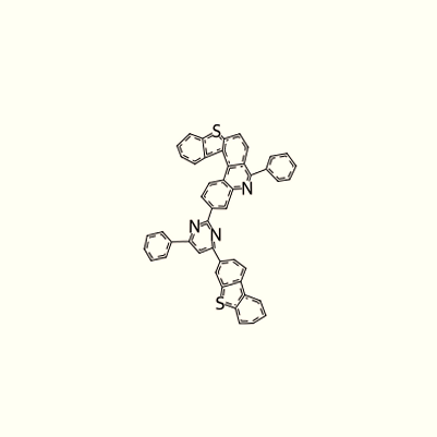 c1ccc(-c2cc(-c3ccc4c(c3)sc3ccccc34)nc(-c3ccc4c(c3)nc(-c3ccccc3)c3ccc5sc6ccccc6c5c34)n2)cc1